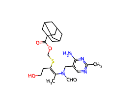 C/C(=C(\CCO)SCOC(=O)C12CC3CC(CC(C3)C1)C2)N(C=O)Cc1cnc(C)nc1N